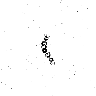 Cn1cc(-n2ccc(=O)c(Cc3cccc(-c4ncc(N5CCC(O)C5)cn4)c3)n2)cn1